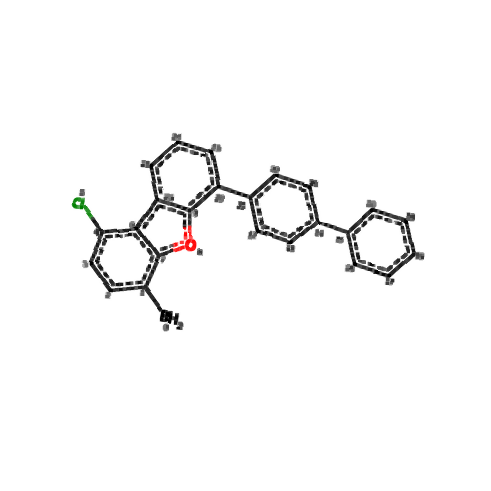 Bc1ccc(Cl)c2c1oc1c(-c3ccc(-c4ccccc4)cc3)cccc12